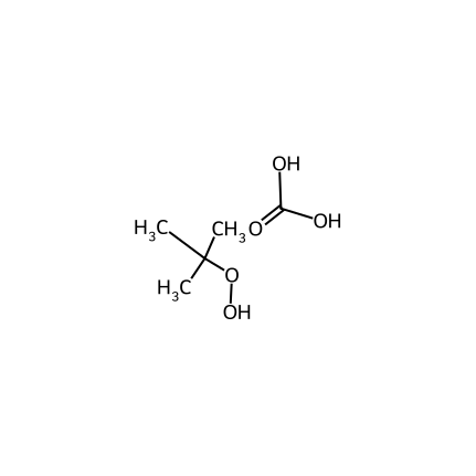 CC(C)(C)OO.O=C(O)O